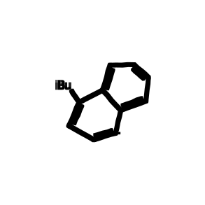 CCC(C)c1cc[c]c2ccccc12